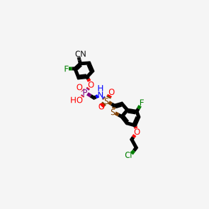 N#Cc1ccc(OP(=O)(O)CNS(=O)(=O)c2cc3c(F)cc(OCCCl)cc3s2)cc1F